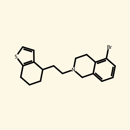 Brc1cccc2c1CCN(CCC1CCCc3sccc31)C2